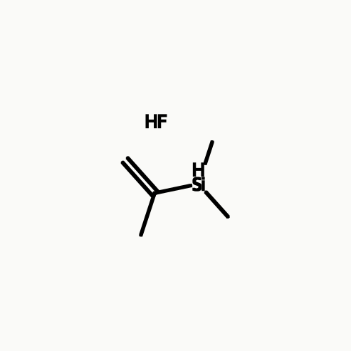 C=C(C)[SiH](C)C.F